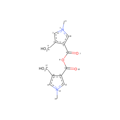 Cn1cc(C(=O)O)c(C(=O)OC(=O)c2cn(C)cc2C(=O)O)c1